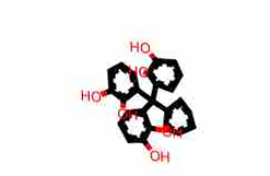 Oc1cccc(C(c2ccccc2)(c2cccc(O)c2O)c2cccc(O)c2O)c1O